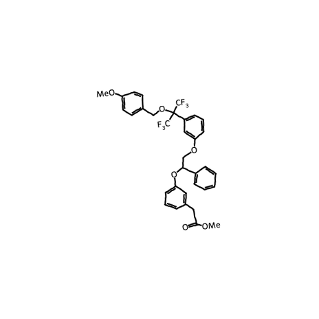 COC(=O)Cc1cccc(OC(COc2cccc(C(OCc3ccc(OC)cc3)(C(F)(F)F)C(F)(F)F)c2)c2ccccc2)c1